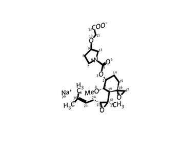 CO[C@@H]1[C@H](OC(=O)N2CCC(OCC(=O)[O-])C2)CC[C@]2(CO2)[C@H]1[C@@]1(C)O[C@@H]1CC=C(C)C.[Na+]